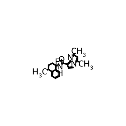 CCC1(NC(=O)c2ccn3c(C)cc(C)nc23)CCC(C)c2ccccc21